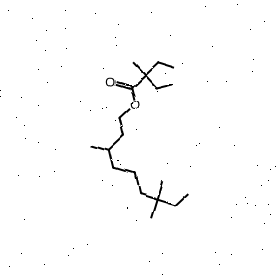 CCC(C)(C)CCCC(C)CCOC(=O)C(C)(CC)CC